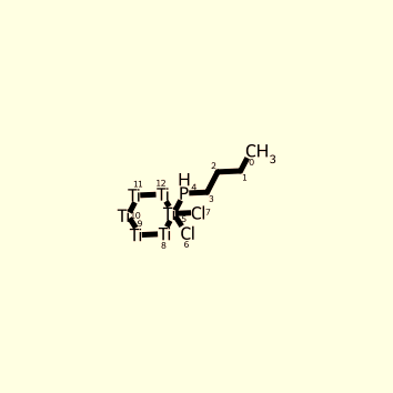 CCCC[PH][Ti]1([Cl])([Cl])[Ti][Ti][Ti][Ti][Ti]1